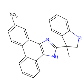 CC1(c2nc3c4cc([N+](=O)[O-])ccc4c4ccccc4c3[nH]2)CNc2ccccc21